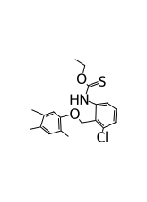 CCOC(=S)Nc1cccc(Cl)c1COc1cc(C)c(C)cc1C